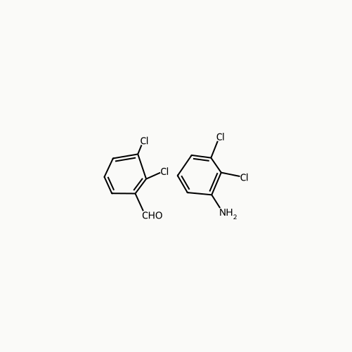 Nc1cccc(Cl)c1Cl.O=Cc1cccc(Cl)c1Cl